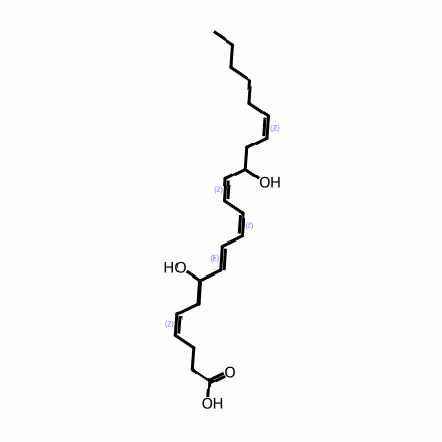 CCCCC/C=C\CC(O)\C=C/C=C\C=C\C(O)C/C=C\CCC(=O)O